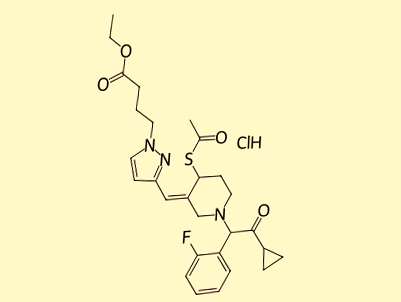 CCOC(=O)CCCn1ccc(C=C2CN(C(C(=O)C3CC3)c3ccccc3F)CCC2SC(C)=O)n1.Cl